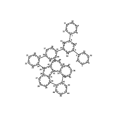 c1ccc(-c2nc(-c3ccccc3)nc(-c3ccc(-c4ccccc4-n4c5cccc6c5c5c7c(cccc7ccc54)-c4ccccc4-6)cc3)n2)cc1